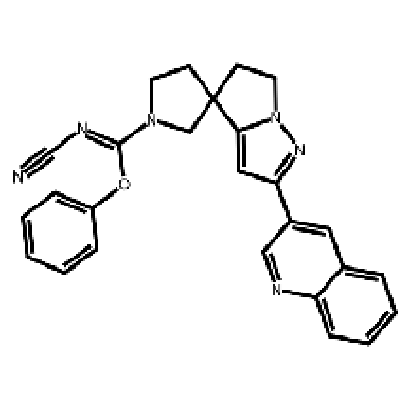 N#CN=C(Oc1ccccc1)N1CCC2(CCn3nc(-c4cnc5ccccc5c4)cc32)C1